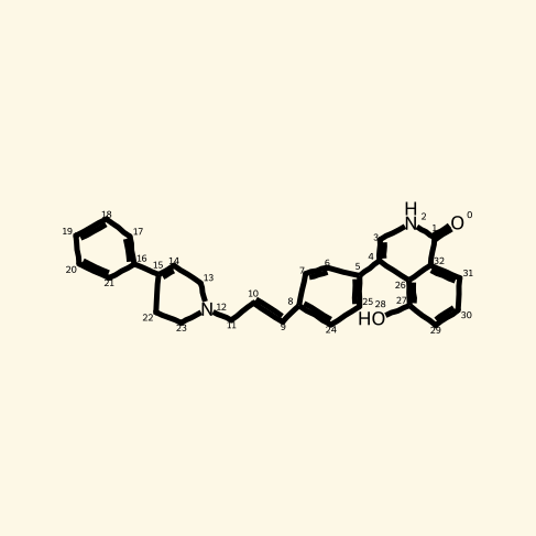 O=c1[nH]cc(-c2ccc(C=CCN3CC=C(c4ccccc4)CC3)cc2)c2c(O)cccc12